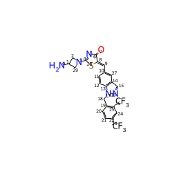 NC1CN(C2=NC(=O)/C(=C/c3ccc4c(cnn4Cc4ccc(C(F)(F)F)cc4C(F)(F)F)c3)S2)C1